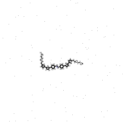 COCCOCCc1ccc(-c2ccc(-c3ccc(/C=C/c4ccc(-c5ccc(-c6ccc(CCOCCOC)s6)s5)cc4)cc3)s2)s1